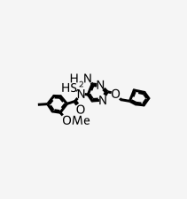 COc1cc(C)ccc1C(=O)N(S)c1cnc(OCc2ccccc2)nc1N